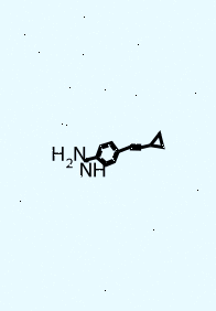 N=C(N)c1ccc(C#CC2CC2)cc1